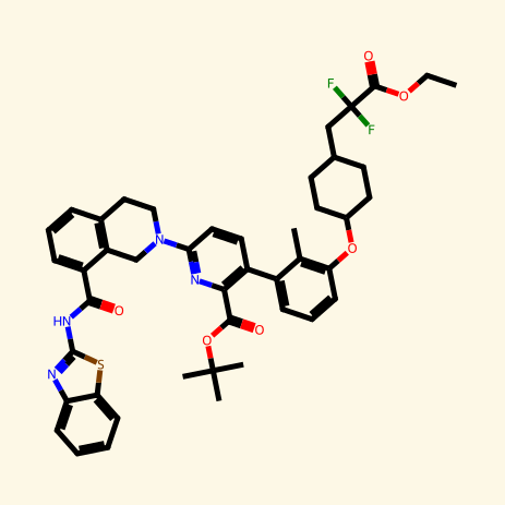 CCOC(=O)C(F)(F)CC1CCC(Oc2cccc(-c3ccc(N4CCc5cccc(C(=O)Nc6nc7ccccc7s6)c5C4)nc3C(=O)OC(C)(C)C)c2C)CC1